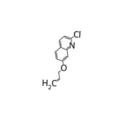 C=CCOc1ccc2ccc(Cl)nc2c1